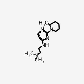 CC1CCCCN1c1nccc(NCCN(C)C)n1